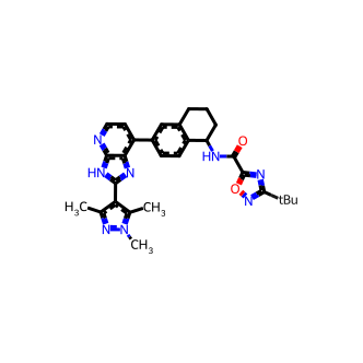 Cc1nn(C)c(C)c1-c1nc2c(-c3ccc4c(c3)CCCC4NC(=O)c3nc(C(C)(C)C)no3)ccnc2[nH]1